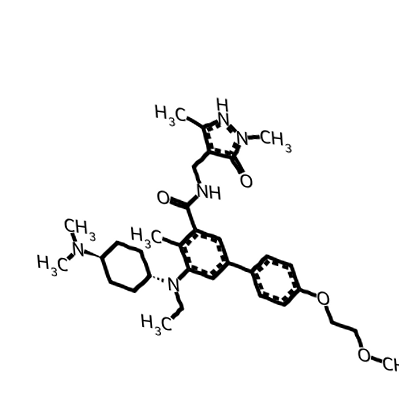 CCN(c1cc(-c2ccc(OCCOC)cc2)cc(C(=O)NCc2c(C)[nH]n(C)c2=O)c1C)[C@H]1CC[C@H](N(C)C)CC1